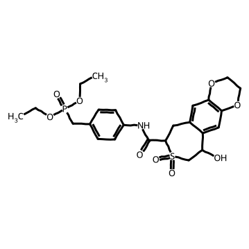 CCOP(=O)(Cc1ccc(NC(=O)C2Cc3cc4c(cc3C(O)CS2(=O)=O)OCCO4)cc1)OCC